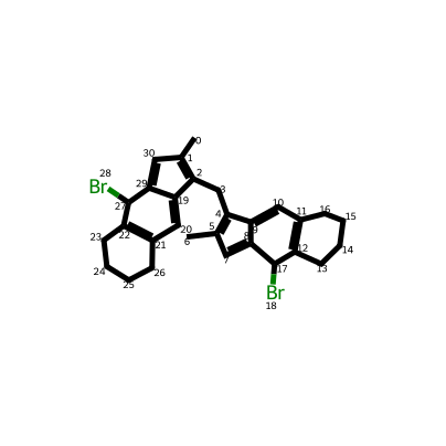 CC1=C(CC2=C(C)C=C3C2=CC2=C(CCCC2)C3Br)C2=CC3=C(CCCC3)C(Br)C2=C1